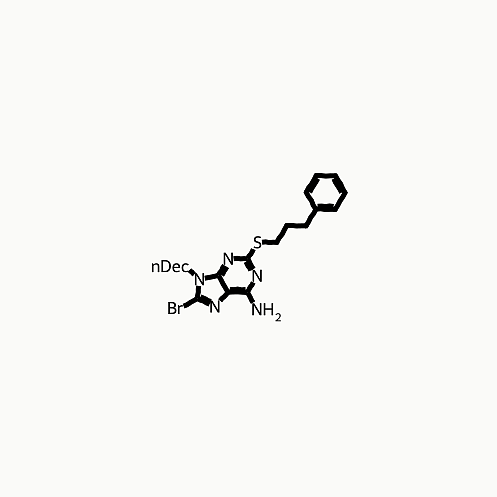 CCCCCCCCCCn1c(Br)nc2c(N)nc(SCCCc3ccccc3)nc21